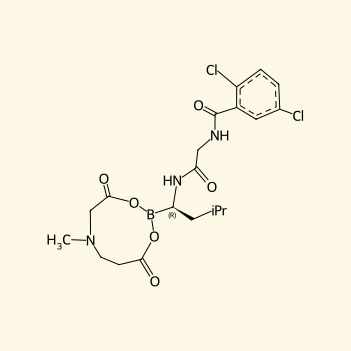 CC(C)C[C@H](NC(=O)CNC(=O)c1cc(Cl)ccc1Cl)B1OC(=O)CCN(C)CC(=O)O1